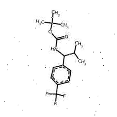 CC(C)C(NC(=O)OC(C)(C)C)c1ccc(C(F)(F)F)cc1